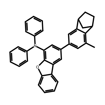 Cc1cc(-c2cc(N(c3ccccc3)c3ccccc3)c3oc4ccccc4c3c2)cc2c1C1CCC2C1